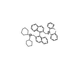 Cc1ccccc1P(Cc1ccc2ccccc2c1-c1c(CP(C2CCCCC2)C2CCCCC2)ccc2ccccc12)c1ccccc1C